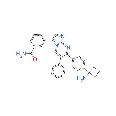 NC(=O)c1cccc(-c2cnc3nc(-c4ccc(C5(N)CCC5)cc4)c(-c4ccccc4)cn23)c1